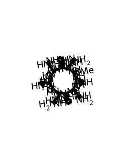 CSSC1NC(=O)[C@H](CCCNC(=N)N)NC(=O)[C@H](Cc2c[nH]c3ccccc23)NC(=O)[C@H](CCCNC(=N)N)NC(=O)NC(=O)[C@H](CCc2c[nH]cn2)NC(=O)CNC(=O)[C@H](CCCNC(=N)N)NC(=O)[C@H](Cc2c[nH]c3ccccc23)NC(=O)[C@H](CCCNC(=N)N)NC(=O)N[C@H](Cc2c[nH]cn2)NC1=O